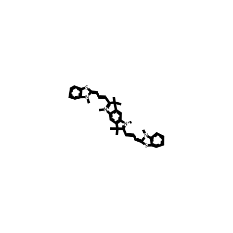 CN1C(=CC=CC2=[N+](C)c3cc4c(cc3C2(C)C)[N+](C)=C(C=CC=C2Sc3ccccc3N2C)C4(C)C)Sc2ccccc21